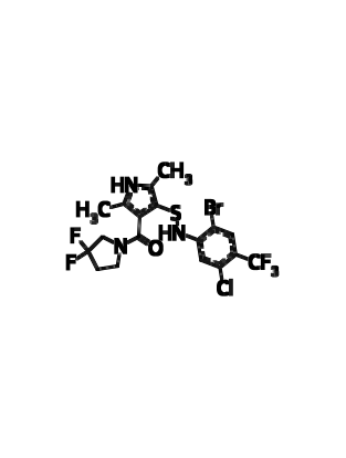 Cc1[nH]c(C)c(C(=O)N2CCC(F)(F)C2)c1SNc1cc(Cl)c(C(F)(F)F)cc1Br